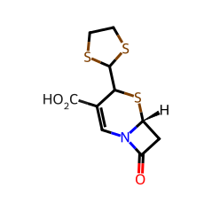 O=C(O)C1=CN2C(=O)C[C@H]2SC1C1SCCS1